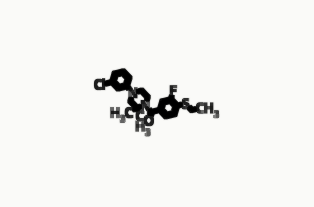 CCSc1ccc(C(=O)N2CCN(c3cccc(Cl)c3)CC2(C)C)cc1F